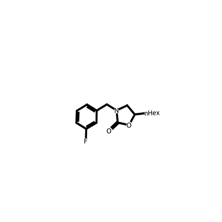 CCCCCCC1CN(Cc2cccc(F)c2)C(=O)O1